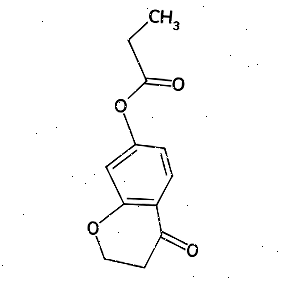 CCC(=O)Oc1ccc2c(c1)OCCC2=O